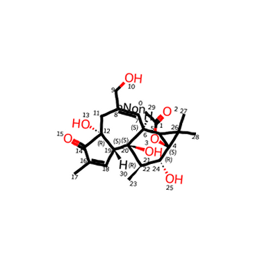 CCCCCCCCCC(=O)O[C@]12C([C@@H]3C=C(CO)C[C@]4(O)C(=O)C(C)=C[C@H]4[C@@]3(O)[C@H](C)[C@H]1O)C2(C)C